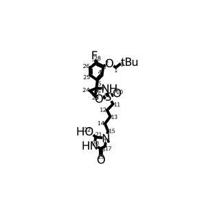 CC(C)(C)COc1cc(C2(NS(=O)(=O)CCCCCN3CC(=O)NC3O)CC2)ccc1F